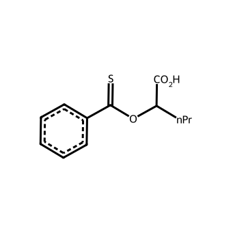 CCCC(OC(=S)c1ccccc1)C(=O)O